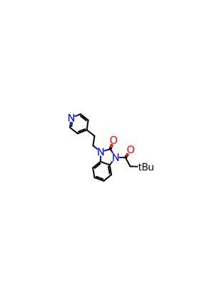 CC(C)(C)CC(=O)n1c(=O)n(CCc2ccncc2)c2ccccc21